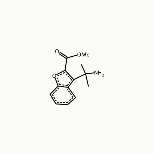 COC(=O)c1oc2ccccc2c1C(C)(C)N